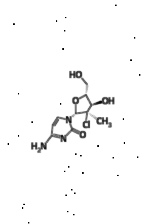 C[C@@]1(Cl)[C@H](O)[C@@H](CO)O[C@H]1n1ccc(N)nc1=O